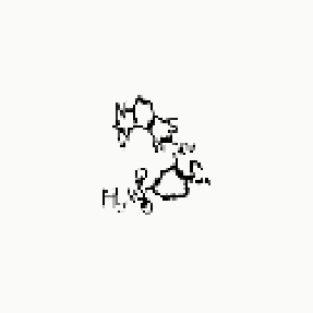 COc1ccc(S(N)(=O)=O)cc1Nc1nc2c(ccc3ncn(C)c32)s1